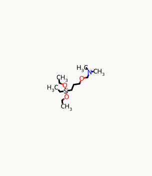 CCO[Si](CC)(CCCOCN(C)C)OCC